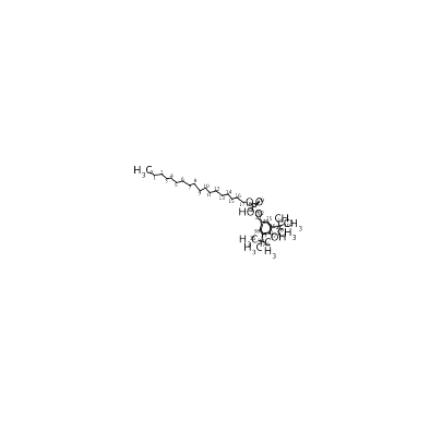 CCCCCCCCCCCCCCCCCCOP(=O)(O)OCc1cc(C(C)(C)C)c(O)c(C(C)(C)C)c1